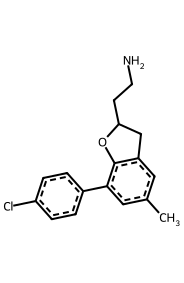 Cc1cc2c(c(-c3ccc(Cl)cc3)c1)OC(CCN)C2